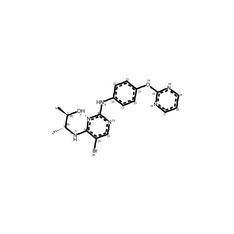 C[C@@H](O)[C@@H](C)Nc1nc(Nc2ccc(Oc3ncccn3)cc2)ncc1Br